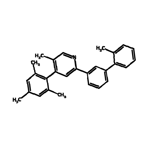 Cc1cc(C)c(-c2cc(-c3cccc(-c4ccccc4C)c3)ncc2C)c(C)c1